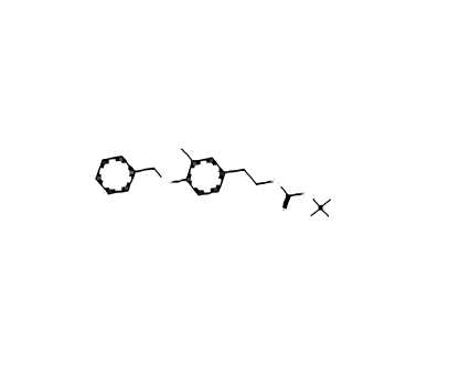 CC(C)(C)OC(=O)NCCc1ccc(OCc2ccccc2)c(I)c1